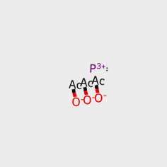 CC(=O)[O-].CC(=O)[O-].CC(=O)[O-].[P+3]